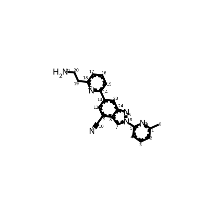 Cc1cccc(-n2cc3c(C#N)cc(-c4cccc(CCN)n4)cc3n2)n1